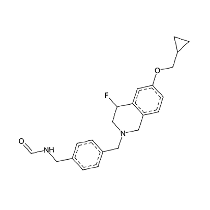 O=CNCc1ccc(CN2Cc3ccc(OCC4CC4)cc3C(F)C2)cc1